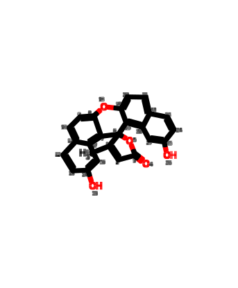 CC1=CC(=O)OC12c1c(ccc3ccc(O)cc13)Oc1ccc3ccc(O)cc3c12